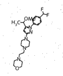 COC(C)c1cc(N2CCN(CCN3CCOCC3)CC2)nn1-c1ccc(C(F)F)cc1